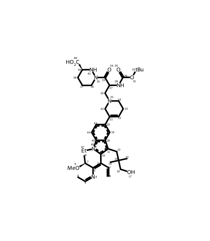 C=C/C(=C(\N=C/C)[C@H](C)OC)c1c(CC(C)(C)CO)c2cc(C3=CCCN(CC(NC(=O)OC(C)(C)C)C(=O)N4CCC[C@@H](C(=O)O)N4)C3)ccc2n1CC